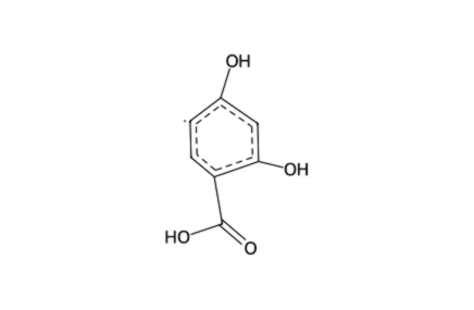 O=C(O)c1c[c]c(O)cc1O